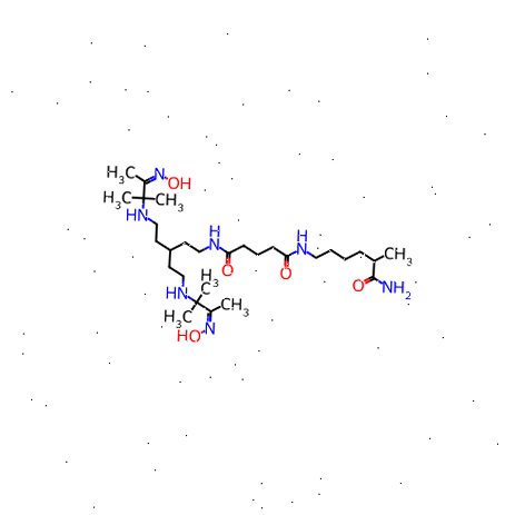 C/C(=N/O)C(C)(C)NCCC(CCNC(=O)CCCC(=O)NCCCCC(C)C(N)=O)CCNC(C)(C)/C(C)=N\O